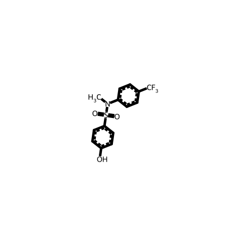 CN(c1ccc(C(F)(F)F)cc1)S(=O)(=O)c1ccc(O)cc1